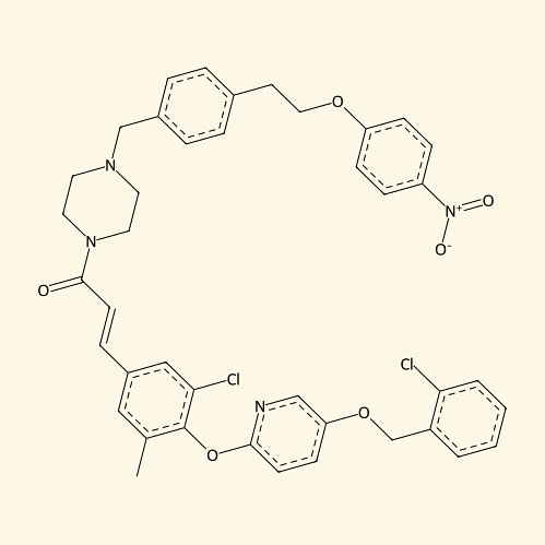 Cc1cc(C=CC(=O)N2CCN(Cc3ccc(CCOc4ccc([N+](=O)[O-])cc4)cc3)CC2)cc(Cl)c1Oc1ccc(OCc2ccccc2Cl)cn1